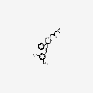 CN(C)CC(=O)CN1CCC(COCc2cc(C(F)(F)F)cc(C(F)(F)F)c2)(c2ccccc2)CC1